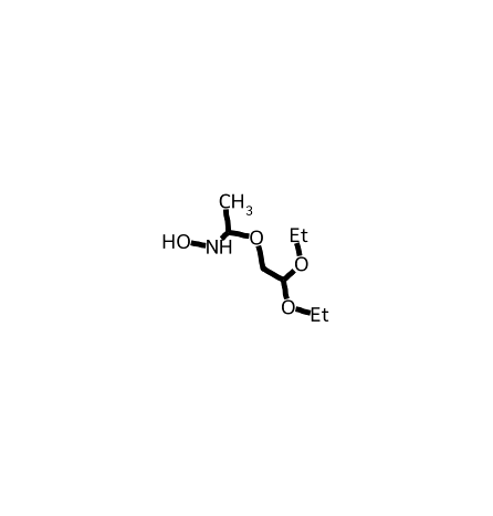 CCOC(COC(C)NO)OCC